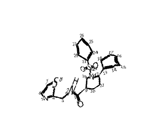 O=C(NCc1nccs1)[C@@H]1CC[C@H](c2ccccc2)N(S(=O)(=O)c2ccccc2)C1